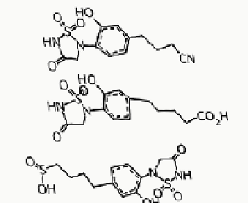 N#CCCCc1ccc(N2CC(=O)NS2(=O)=O)c(O)c1.O=C(O)CCCCc1ccc(N2CC(=O)NS2(=O)=O)c(O)c1.O=C1CN(c2ccc(CCCCS(=O)O)cc2O)S(=O)(=O)N1